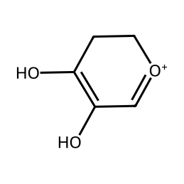 OC1=C(O)CC[O+]=C1